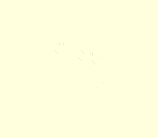 CCOC(=O)CCCCN1C(Cl)=Nc2c(nc(-c3ccc(C(=N)N)cc3)n2C)C1O